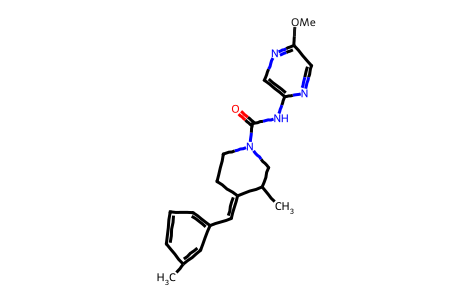 COc1cnc(NC(=O)N2CC/C(=C\c3cccc(C)c3)C(C)C2)cn1